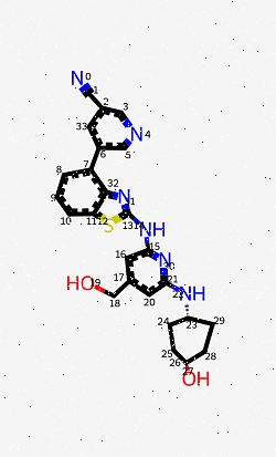 N#Cc1cncc(-c2cccc3sc(Nc4cc(CO)cc(N[C@H]5CC[C@H](O)CC5)n4)nc23)c1